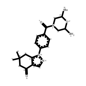 BC1CN(C(=O)c2ccc(-n3ncc4c3CC(C)(C)CC4=O)cc2)CC(C(C)(C)C)O1